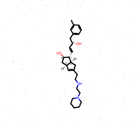 Cc1cccc(C[C@H](O)/C=C/[C@@H]2[C@H]3CC(CCNCCN4CCCCC4)=C[C@H]3C[C@H]2O)c1